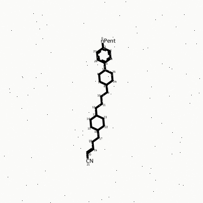 CCCCCc1ccc(C2CCC(CCCCC3CCC(CCC=CC#N)CC3)CC2)cc1